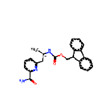 NC(=O)c1cccc(C[C@H](NC(=O)OCC2c3ccccc3-c3ccccc32)C(=O)O)n1